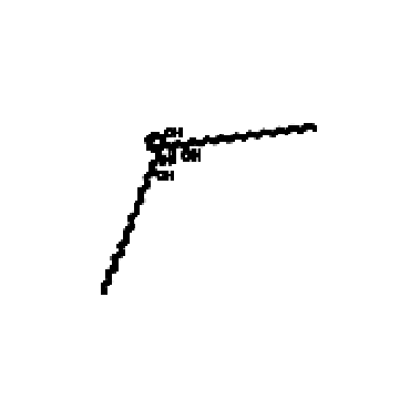 CCCCCCCCCCCCCCCCCCC(O)CNc1cccc(O)c1NCC(O)CCCCCCCCCCCCCCCCCC